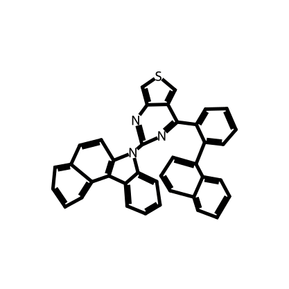 c1ccc(-c2nc(-n3c4ccccc4c4c5ccccc5ccc43)nc3cscc23)c(-c2cccc3ccccc23)c1